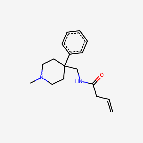 C=CCC(=O)NCC1(c2ccccc2)CCN(C)CC1